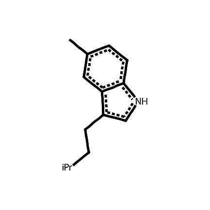 Cc1ccc2[nH]cc(CCC(C)C)c2c1